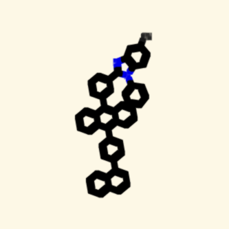 N#Cc1ccc2c(c1)nc(-c1cccc(-c3c4ccccc4c(-c4ccc(-c5cccc6ccccc56)cc4)c4ccccc34)c1)n2-c1ccccc1